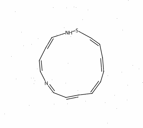 c1ccccncccc[nH]scccc1